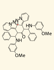 COc1cccc(NC(c2ccccc2)C(C(=O)C(c2cnn3ccccc23)C(Nc2cccc(OC)c2)c2ccccc2)c2cnn3ccccc23)c1